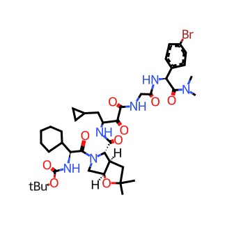 CN(C)C(=O)[C@@H](NC(=O)CNC(=O)C(=O)C(CC1CC1)NC(=O)[C@@H]1[C@H]2CC(C)(C)O[C@H]2CN1C(=O)[C@@H](NC(=O)OC(C)(C)C)C1CCCCC1)c1ccc(Br)cc1